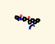 Cc1ccccc1C(=O)Nc1ccc(C(=O)C2=c3ccc4c(c3CCC2)C(N(C)CC#N)C=c2ccccc2=4)cc1